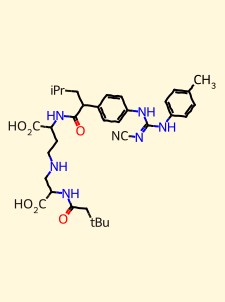 Cc1ccc(NC(=NC#N)Nc2ccc(C(CC(C)C)C(=O)NC(CCNCC(NC(=O)CC(C)(C)C)C(=O)O)C(=O)O)cc2)cc1